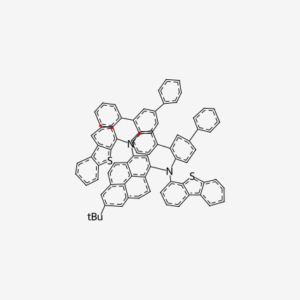 CC(C)(C)c1cc2ccc3c(N(c4ccc(-c5ccccc5)cc4-c4ccccc4)c4cccc5c4sc4ccccc45)cc(N(c4ccc(-c5ccccc5)cc4-c4ccccc4)c4cccc5c4sc4ccccc45)c4ccc(c1)c2c34